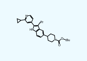 CC(C)c1c(-c2ccnc(C3CC3)c2)[nH]c2ccc(C3CCN(C(=O)OC(C)(C)C)CC3)cc12